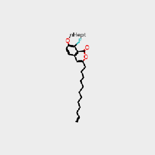 C=CCCCCCCCCCCc1cc2ccc(OCCCCCCC)c(F)c2c(=O)o1